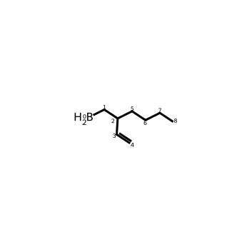 BCC(C=C)CCCC